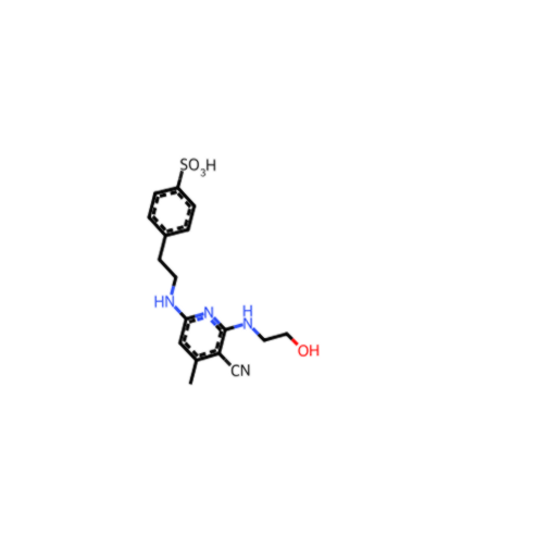 Cc1cc(NCCc2ccc(S(=O)(=O)O)cc2)nc(NCCO)c1C#N